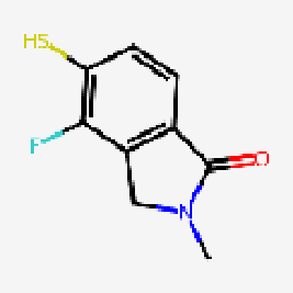 CN1Cc2c(ccc(S)c2F)C1=O